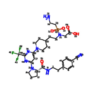 N#Cc1ccc(CCNC(=O)[C@@H]2CCCN2c2cc(N3CCC(CCN(CC(=O)O)S(=O)(=O)CCN)CC3)nc(C(F)(F)F)n2)cc1